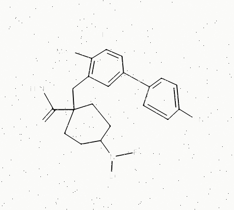 CCN(CC)C1CCC(Cc2cc(-c3ccc(C#N)cc3)ccc2OC)(C(N)=O)CC1.Cl